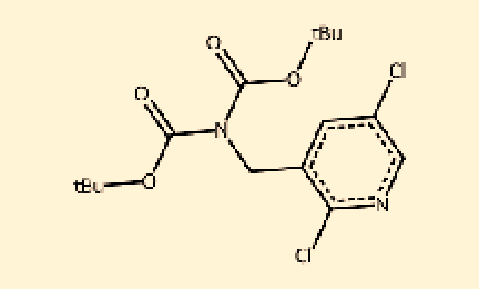 CC(C)(C)OC(=O)N(Cc1cc(Cl)cnc1Cl)C(=O)OC(C)(C)C